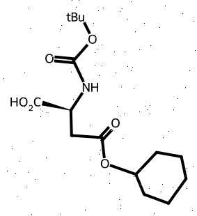 CC(C)(C)OC(=O)N[C@@H](CC(=O)OC1CCCCC1)C(=O)O